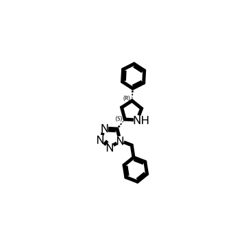 c1ccc(Cn2nnnc2[C@@H]2C[C@H](c3ccccc3)CN2)cc1